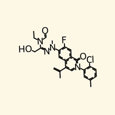 C=C(C)c1cn(-c2cc(C)ccc2Cl)c(=O)c2cc(F)c(N(C)/N=C(/CO)N(C=O)CC)cc12